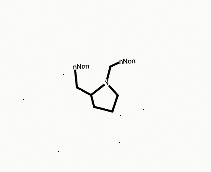 CCCCCCCCCCC1CCCN1CCCCCCCCCC